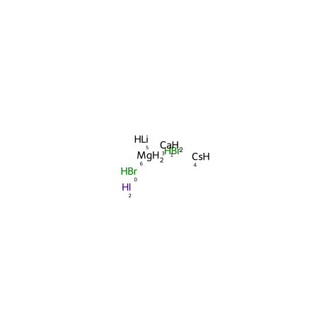 Br.Br.I.[CaH2].[CsH].[LiH].[MgH2]